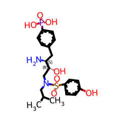 CC(C)CN(C[C@@H](O)[C@@H](N)Cc1ccc(P(=O)(O)O)cc1)S(=O)(=O)c1ccc(O)cc1